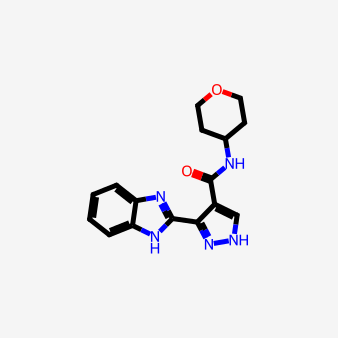 O=C(NC1CCOCC1)c1c[nH]nc1-c1nc2ccccc2[nH]1